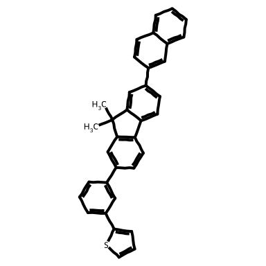 CC1(C)c2cc(-c3cccc(-c4cccs4)c3)ccc2-c2ccc(-c3ccc4ccccc4c3)cc21